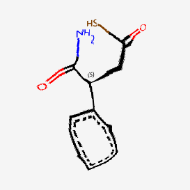 NC(=O)[C@@H](CC(=O)S)c1ccccc1